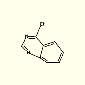 [CH2]Cc1ncnc2ccccc12